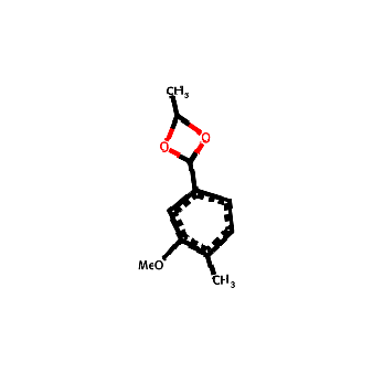 COc1cc(C2OC(C)O2)ccc1C